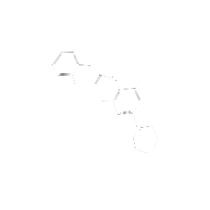 O=C(Cc1ccccc1F)Nc1c(F)cc(N2CCOCC2)cc1F